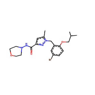 Cc1cc(C(=O)NN2CCOCC2)nn1Cc1cc(Br)ccc1OCC(C)C